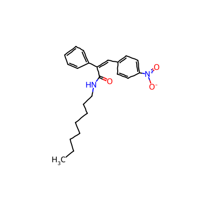 CCCCCCCCNC(=O)/C(=C\c1ccc([N+](=O)[O-])cc1)c1ccccc1